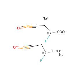 O=P#CC[C@@H](F)C(=O)[O-].O=P#CC[C@@H](F)C(=O)[O-].[Na+].[Na+]